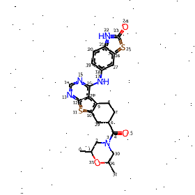 CC1CN(C(=O)C2CCc3c(sc4ncnc(Nc5ccc6[nH]c(=O)sc6c5)c34)C2)CC(C)O1